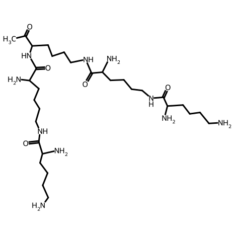 CC(=O)C(CCCCNC(=O)C(N)CCCCNC(=O)C(N)CCCCN)NC(=O)C(N)CCCCNC(=O)C(N)CCCCN